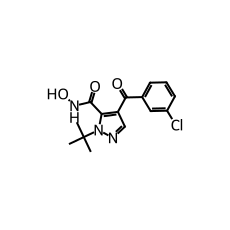 CC(C)(C)n1ncc(C(=O)c2cccc(Cl)c2)c1C(=O)NO